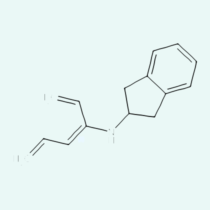 C=C/C=C(\C=C)NC1Cc2ccccc2C1